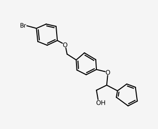 OCC(Oc1ccc(COc2ccc(Br)cc2)cc1)c1ccccc1